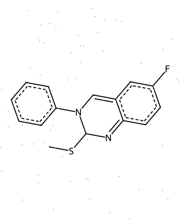 CSC1N=c2ccc(F)cc2=CN1c1ccccc1